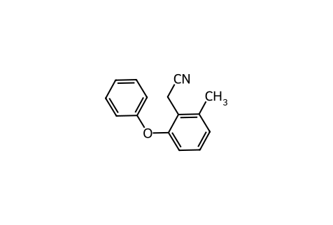 Cc1cccc(Oc2ccccc2)c1CC#N